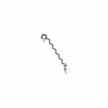 S=C=NCCCCCCCCCCc1cccs1